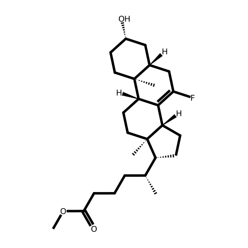 COC(=O)CCC[C@@H](C)[C@H]1CC[C@H]2C3=C(F)C[C@H]4C[C@@H](O)CC[C@]4(C)[C@H]3CC[C@]12C